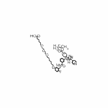 CC(C)(C)OC(=O)N1CCC(Nc2cccc(C(=O)NCc3cc(OCCCCCCOCCOCCOCCCCCC(=O)O)ccc3F)c2)(c2nnc(-c3ccncc3)[nH]2)CC1